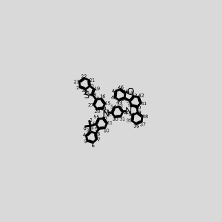 CC1(C)c2ccccc2-c2ccc(N(c3ccc(-c4cc5ccccc5s4)cc3)c3ccc(-n4c5ccccc5c5ccc6oc7ccccc7c6c54)cc3)cc21